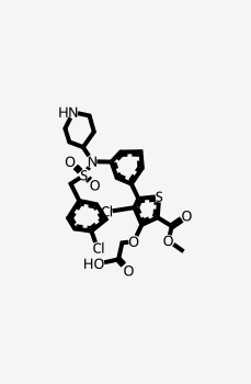 COC(=O)c1sc(-c2cccc(N(C3CCNCC3)S(=O)(=O)Cc3ccc(Cl)cc3)c2)c(Cl)c1OCC(=O)O